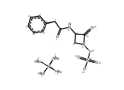 CCCC[N+](CCCC)(CCCC)CCCC.O=C(Cc1ccccc1)NC1CN(OS(=O)(=O)[O-])C1=O